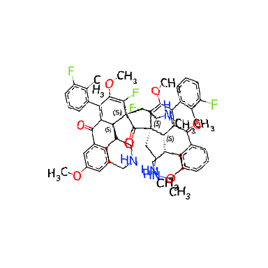 CNCC[C@]1(C(=O)[C@@]2(CCNC)C(F)=C(OC)C(c3cccc(F)c3C)=C(C(=O)c3cccc(OC)c3)[C@@H]2C2CCCNC2)C(F)=C(OC)C(c2cccc(F)c2C)=C(C(=O)c2cccc(OC)c2)[C@@H]1C1CCCNC1